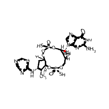 C[C@@H]1[C@@H]2OP(=O)(S)OC[C@H]3O[C@@H](n4cnc5c(=O)[nH]c(N)nc54)[C@H](OP(=O)(S)OC[C@H]2C[C@H]1Nc1ncncn1)[C@@H]3C